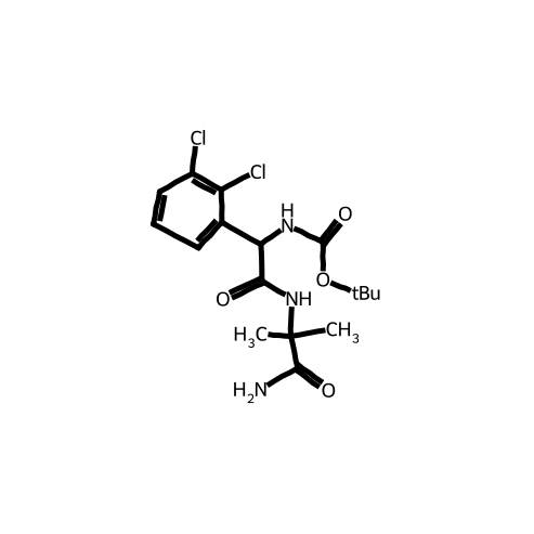 CC(C)(C)OC(=O)NC(C(=O)NC(C)(C)C(N)=O)c1cccc(Cl)c1Cl